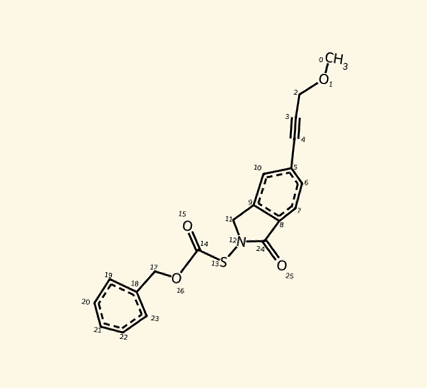 COCC#Cc1ccc2c(c1)CN(SC(=O)OCc1ccccc1)C2=O